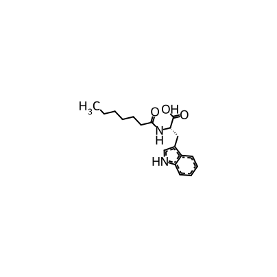 CCCCCCC(=O)N[C@@H](Cc1c[nH]c2ccccc12)C(=O)O